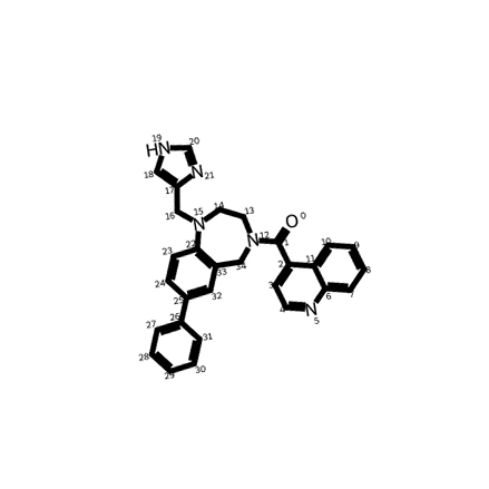 O=C(c1ccnc2ccccc12)N1CCN(Cc2c[nH]cn2)c2ccc(-c3ccccc3)cc2C1